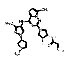 C=CC(=O)N[C@H]1CN(c2nc(Nc3cn(C4CCN(C)C4)nc3OC)c3ncc(C)n3n2)C[C@@H]1F